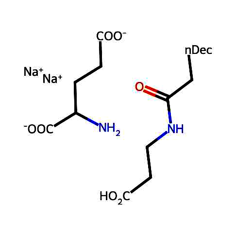 CCCCCCCCCCCC(=O)NCCC(=O)O.NC(CCC(=O)[O-])C(=O)[O-].[Na+].[Na+]